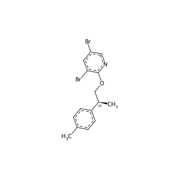 Cc1ccc([C@H](C)COc2ncc(Br)cc2Br)cc1